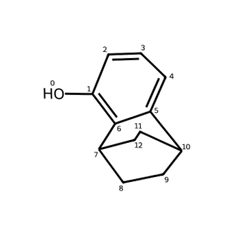 Oc1cccc2c1C1CCC2CC1